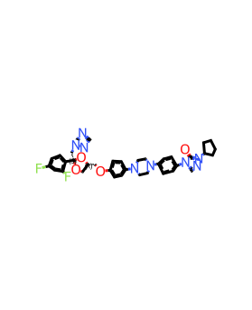 O=c1n(-c2ccc(N3CCN(c4ccc(OC[C@@H]5CO[C@@](Cn6cncn6)(c6ccc(F)cc6F)O5)cc4)CC3)cc2)cnn1C1CCCC1